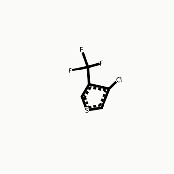 FC(F)(F)c1cscc1Cl